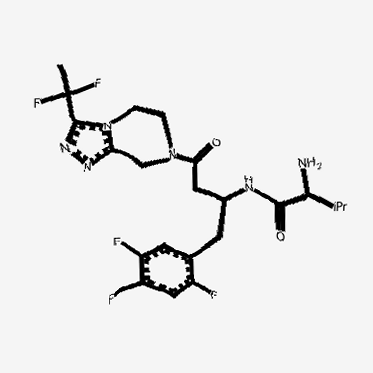 CC(C)C(N)C(=O)NC(CC(=O)N1CCn2c(nnc2C(C)(F)F)C1)Cc1cc(F)c(F)cc1F